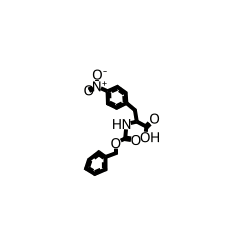 O=C(NC(Cc1ccc([N+](=O)[O-])cc1)C(=O)O)OCc1ccccc1